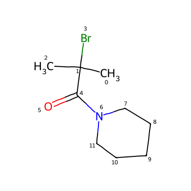 CC(C)(Br)C(=O)N1CCCCC1